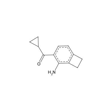 Nc1c(C(=O)C2CC2)ccc2c1CC2